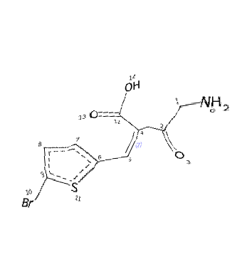 NCC(=O)/C(=C/c1ccc(Br)s1)C(=O)O